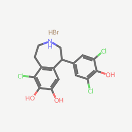 Br.Oc1cc2c(c(Cl)c1O)CCNCC2c1cc(Cl)c(O)c(Cl)c1